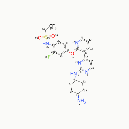 N[C@H]1CC[C@H](Nc2nccc(-c3cccnc3Oc3ccc(NS(=O)(=O)CC(F)(F)F)c(F)c3)n2)CC1